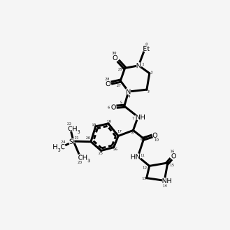 CCN1CCN(C(=O)NC(C(=O)NC2CNC2=O)c2ccc([Si](C)(C)C)cc2)C(=O)C1=O